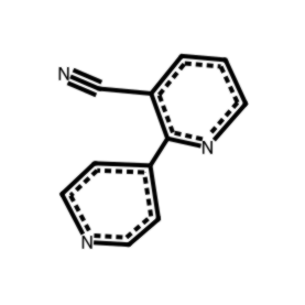 N#Cc1cccnc1-c1ccncc1